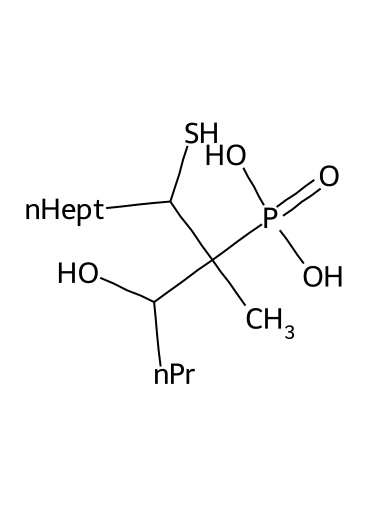 CCCCCCCC(S)C(C)(C(O)CCC)P(=O)(O)O